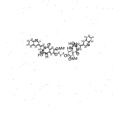 COc1cc2c(cc1OCCCOc1cc3c(cc1OC)C(=O)N1C=C(c4cnc5ccccc5c4)C[C@H]1C(S)N3)NC(O)[C@@H]1CC(c3cnc4ccccc4c3)=CN1C2=O